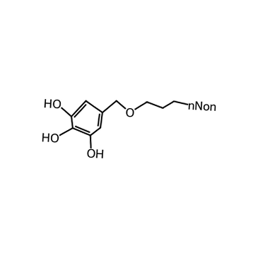 CCCCCCCCCCCCOCc1cc(O)c(O)c(O)c1